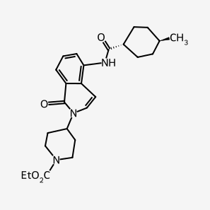 CCOC(=O)N1CCC(n2ccc3c(NC(=O)[C@H]4CC[C@H](C)CC4)cccc3c2=O)CC1